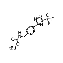 CC(C)(C)OC(=O)NCc1ccc(-c2noc(C(F)(F)Cl)n2)cc1